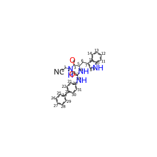 N#CCNC(=O)C(Cc1c[nH]c2ccccc12)NC(=O)Nc1ccc(-c2ccccc2)cc1